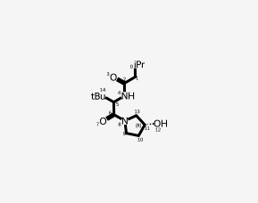 CC(C)CC(=O)NC(C(=O)N1CC[C@@H](O)C1)C(C)(C)C